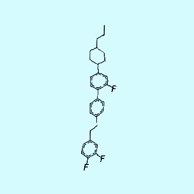 CCCC1CCC(c2ccc(-c3ccc(CCc4ccc(F)c(F)c4)cc3)c(F)c2)CC1